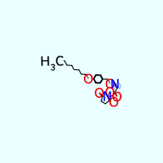 CCCCCCCCOc1ccc(CO/N=C\C(=O)ON2C(=O)CCC2=O)cc1